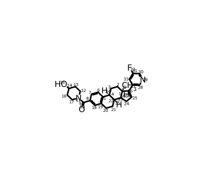 C[C@]12CC[C@@H]3c4ccc(C(=O)N5CCC(O)CC5)cc4CC[C@H]3[C@@H]1CC=C2c1cncc(F)c1